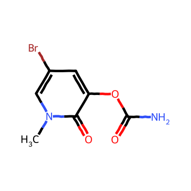 Cn1cc(Br)cc(OC(N)=O)c1=O